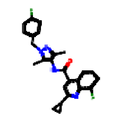 Cc1nn(Cc2ccc(F)cc2)c(C)c1NC(=O)c1cc(C2CC2)nc2c(F)cccc12